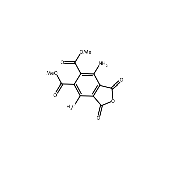 COC(=O)c1c(C)c2c(c(N)c1C(=O)OC)C(=O)OC2=O